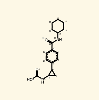 O=C(O)NC1CC1c1ccc(C(=O)NC2CCCCC2)cc1